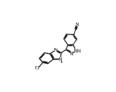 Cn1c(-c2n[nH]c3cc(C#N)ccc23)nc2ccc(Cl)cc21